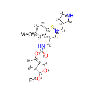 CCOC1OCC2C(OC(=O)NCCCN(CC3CCNC3)Sc3ccc(OC)cc3)CCC12